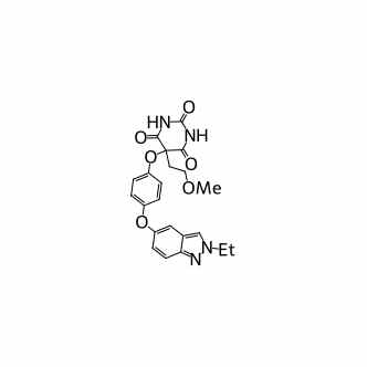 CCn1cc2cc(Oc3ccc(OC4(CCOC)C(=O)NC(=O)NC4=O)cc3)ccc2n1